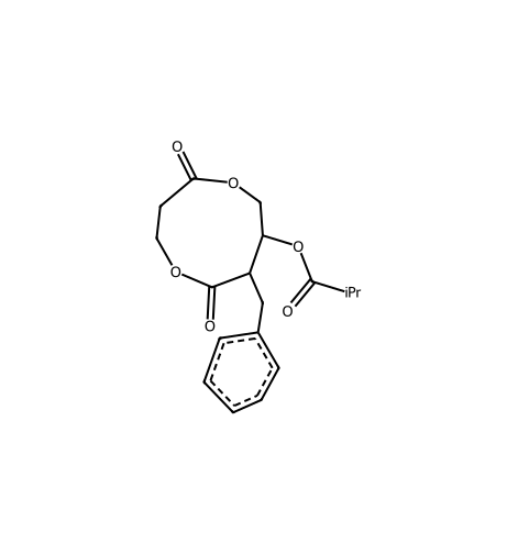 CC(C)C(=O)OC1COC(=O)CCOC(=O)C1Cc1ccccc1